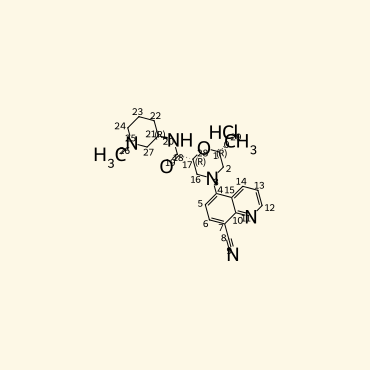 C[C@@H]1CN(c2ccc(C#N)c3ncccc23)C[C@H](C(=O)N[C@@H]2CCCN(C)C2)O1.Cl